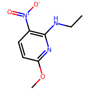 CCNc1nc(OC)ccc1[N+](=O)[O-]